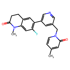 Cc1ccn(Cc2cncc(-c3cc4c(cc3F)N(C)C(=O)CC4)c2)c(=O)c1